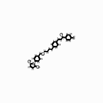 O=C(/C=C/c1ccc(CCCCOCc2ccc(N3C(=O)C=CC3=O)cc2)cc1)c1ccc(F)cc1